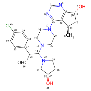 C[C@@H]1C[C@@H](O)c2ncnc(N3CCN(C(C(C=O)c4ccc(Cl)cc4)N4CC[C@@H](O)C4)CC3)c21